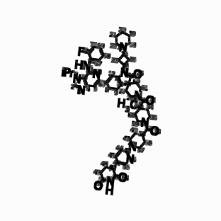 CC(C)n1cnc2cc(-c3ccc4c(c3)N(C3CC(N5CCCCC5)C3)C(=O)C43CCN(C(=O)C4(C)CCN(C(=O)C5CCN(c6ccc([C@H]7CCC(=O)NC7=O)cn6)CC5)CC4)CC3)nc(Nc3ccccc3F)c21